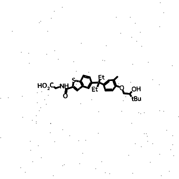 CCC(CC)(c1ccc(OCC(O)C(C)(C)C)c(C)c1)c1ccc2sc(C(=O)NCC(=O)O)cc2c1